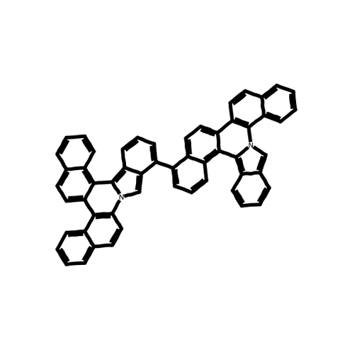 c1ccc2c(c1)ccc1c2c2ccc3ccccc3c2c2c3cccc(-c4cccc5c4ccc4c6ccc7ccccc7c6n6cc7ccccc7c6c54)c3cn12